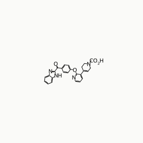 O=C(c1ccc(Oc2ncccc2C2=CCN(C(=O)O)CC2)cc1)c1nc2ccccc2[nH]1